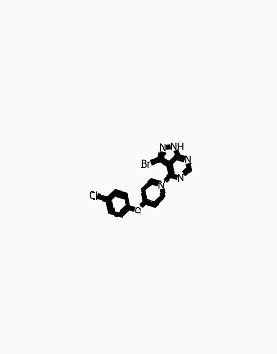 Clc1ccc(OC2CCN(c3ncnc4[nH]nc(Br)c34)CC2)cc1